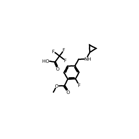 COC(=O)c1ccc(CNC2CC2)cc1F.O=C(O)C(F)(F)F